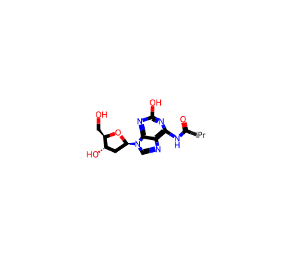 CC(C)C(=O)Nc1nc(O)nc2c1ncn2[C@H]1C[C@H](O)[C@@H](CO)O1